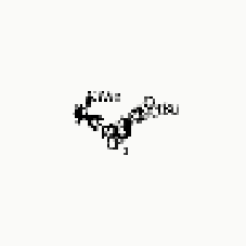 COCCn1ncc(C)c1C1CCN(c2cc3c(c(C(F)(F)F)n2)C=CC[C@H]2[C@H](N4CCN(C(=O)OC(C)(C)C)CC4)CN32)CC1